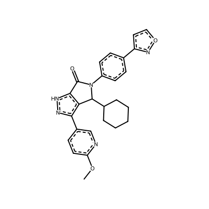 COc1ccc(-c2n[nH]c3c2C(C2CCCCC2)N(c2ccc(-c4ccon4)cc2)C3=O)cn1